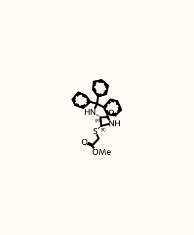 COC(=O)CS[C@H]1NC(=O)[C@H]1NC(c1ccccc1)(c1ccccc1)c1ccccc1